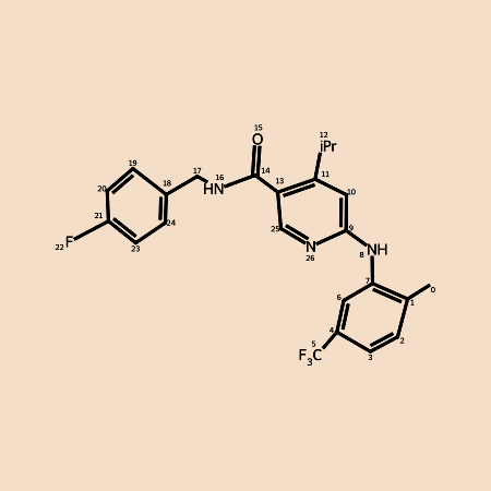 Cc1ccc(C(F)(F)F)cc1Nc1cc(C(C)C)c(C(=O)NCc2ccc(F)cc2)cn1